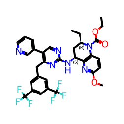 CCOC(=O)N1c2ccc(OC)nc2[C@@H](Nc2ncc(-c3cccnc3)c(Cc3cc(C(F)(F)F)cc(C(F)(F)F)c3)n2)C[C@H]1CC